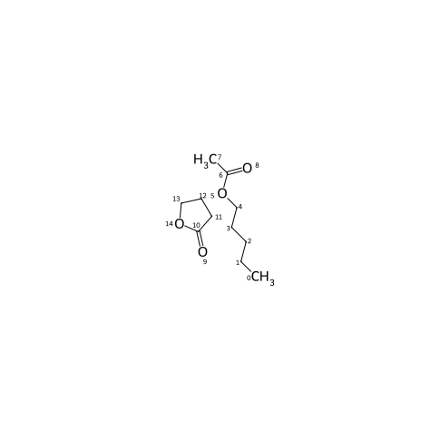 CCCCCOC(C)=O.O=C1CCCO1